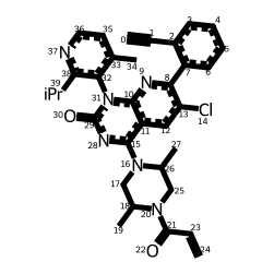 C#Cc1ccccc1-c1nc2c(cc1Cl)c(N1CC(C)N(C(=O)C=C)CC1C)nc(=O)n2-c1c(C)ccnc1C(C)C